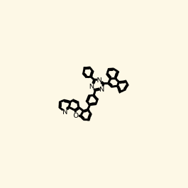 c1ccc(-c2nc(-c3ccc(-c4cccc5oc6c(ccc7cccnc76)c45)cc3)nc(-c3cc4ccccc4c4ccccc34)n2)cc1